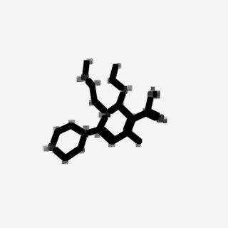 CCSC1C(C(=O)O)=C(C)C=C(N2CCOCC2)N1CCOC